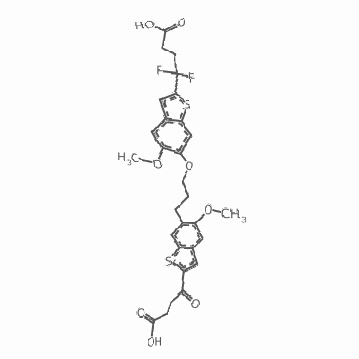 COc1cc2cc(C(=O)CCC(=O)O)sc2cc1CCCOc1cc2sc(C(F)(F)CCC(=O)O)cc2cc1OC